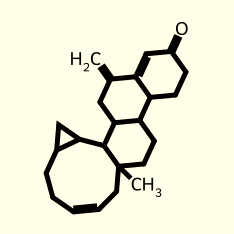 C=C1CC2C(CCC3(C)C/C=C\CCC4CC4C23)C2CCC(=O)C=C12